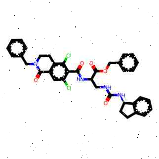 O=C(NCC(NC(=O)c1c(Cl)cc2c(c1Cl)CCN(Cc1ccccc1)C2=O)C(=O)OCc1ccccc1)N[C@@H]1CCc2ccccc21